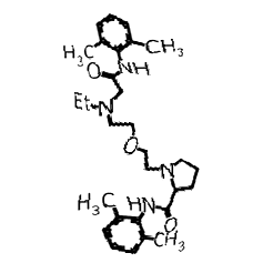 CCN(CCOCCN1CCCC1C(=O)Nc1c(C)cccc1C)CC(=O)Nc1c(C)cccc1C